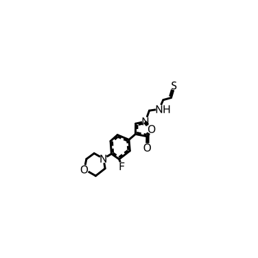 O=c1on(CNCC=S)cc1-c1ccc(N2CCOCC2)c(F)c1